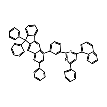 c1ccc(-c2cc(-c3cccc4ccccc34)nc(-c3cccc(-c4cc(-c5ccccc5)nc5cc6c(cc45)-c4ccccc4C6(c4ccccc4)c4ccccc4)c3)n2)cc1